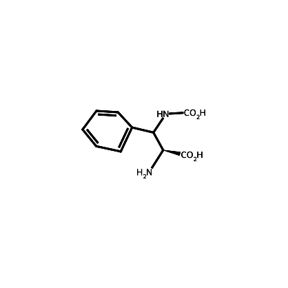 N[C@H](C(=O)O)C(NC(=O)O)c1ccccc1